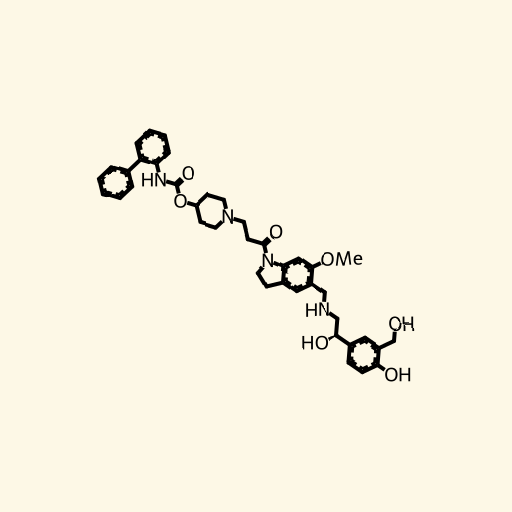 COc1cc2c(cc1CNC[C@H](O)c1ccc(O)c(CO)c1)CCN2C(=O)CCN1CCC(OC(=O)Nc2ccccc2-c2ccccc2)CC1